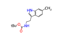 Cc1ccc2c(CCNC(=O)OC(C)(C)C)c[nH]c2c1